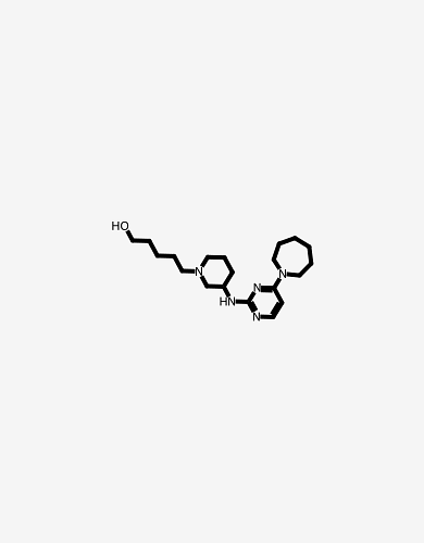 OCCCCCN1CCCC(Nc2nccc(N3CCCCCC3)n2)C1